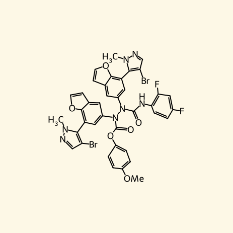 COc1ccc(OC(=O)N(c2cc(-c3c(Br)cnn3C)c3occc3c2)N(C(=O)Nc2ccc(F)cc2F)c2cc(-c3c(Br)cnn3C)c3occc3c2)cc1